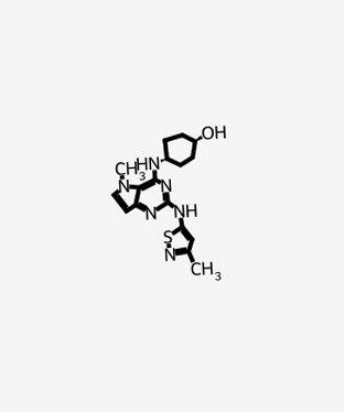 Cc1cc(Nc2nc(N[C@H]3CC[C@H](O)CC3)c3c(ccn3C)n2)sn1